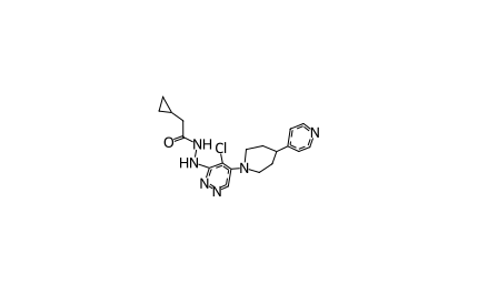 O=C(CC1CC1)NNc1nncc(N2CCC(c3ccncc3)CC2)c1Cl